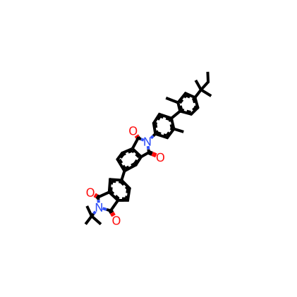 CCC(C)(C)c1ccc(-c2ccc(N3C(=O)c4ccc(-c5ccc6c(c5)C(=O)N(C(C)(C)C)C6=O)cc4C3=O)cc2C)c(C)c1